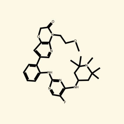 COCCN1C(=O)COc2cc(-c3ccccc3Nc3ncc(F)c(NC4CC(C)(C)N(C)C(C)(C)C4)n3)cnc21